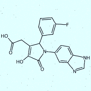 O=C(O)CC1=C(O)C(=O)N(c2ccc3[nH]cnc3c2)C1c1cccc(F)c1